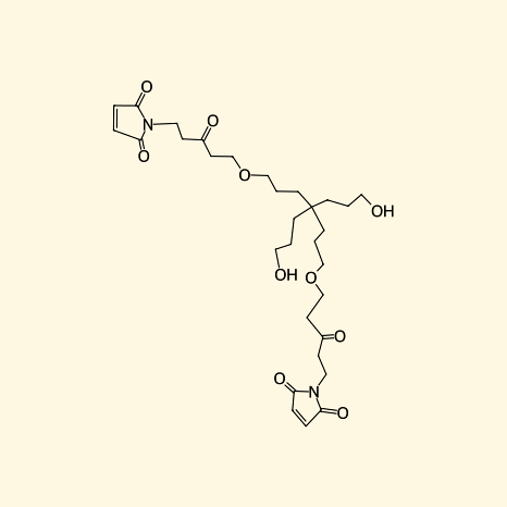 O=C(CCOCCCC(CCCO)(CCCO)CCCOCCC(=O)CCN1C(=O)C=CC1=O)CCN1C(=O)C=CC1=O